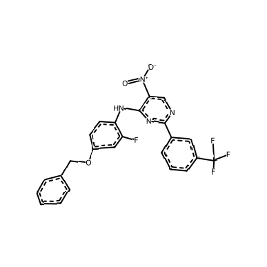 O=[N+]([O-])c1cnc(-c2cccc(C(F)(F)F)c2)nc1Nc1ccc(OCc2ccccc2)cc1F